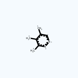 Cc1cnnc(C)c1C